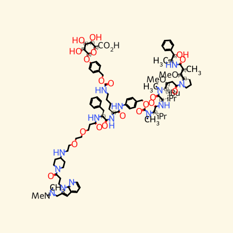 CC[C@H](C)[C@@H]([C@@H](CC(=O)N1CCC[C@H]1[C@H](OC)[C@@H](C)C(=O)N[C@H](C)[C@@H](O)c1ccccc1)OC)N(C)C(=O)[C@@H](NC(=O)[C@H](C(C)C)N(C)C(=O)OCc1ccc(NC(=O)[C@H](CCCCNC(=O)OCc2ccc(O[C@@H]3O[C@H](C(=O)O)[C@@H](O)[C@H](O)[C@H]3O)cc2)NC(=O)[C@H](Cc2ccccc2)NC(=O)CCOCCOCCNC2CCN(C(=O)CCn3c(CN(C)NC)cc4cccnc43)CC2)cc1)C(C)C